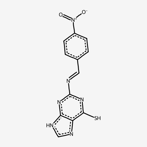 O=[N+]([O-])c1ccc(/C=N/c2nc(S)c3nc[nH]c3n2)cc1